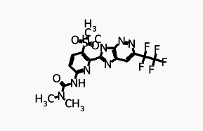 CN(C)C(=O)Nc1ccc(S(C)(=O)=O)c(-c2nc3cc(C(F)(F)C(F)(F)F)nnc3n2C)n1